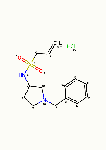 C=CCS(=O)(=O)NC1CCN(Cc2ccccc2)C1.Cl